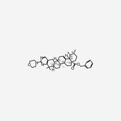 C[C@@H]1[C@H]2C3=CC[C@H]4[C@]5(C)Cc6cnc(N7CCOCC7)nc6C(C)(C)[C@H]5CC[C@]4(C)[C@]3(C)CC[C@@]2(C(=O)OCc2ccccc2)CC[C@@H]1C